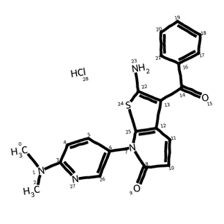 CN(C)c1ccc(-n2c(=O)ccc3c(C(=O)c4ccccc4)c(N)sc32)cn1.Cl